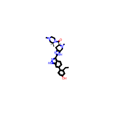 CCc1cc(O)ccc1-c1ccc2c(-c3nc4c([nH]3)CN(C)[C@H](C(=O)N3CCN(C)C[C@@H]3C)C4)n[nH]c2c1